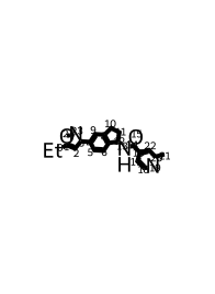 CCc1cc(-c2ccc3c(c2)CCC3NC(=O)c2ccnc(C)c2)no1